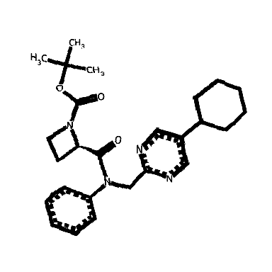 CC(C)(C)OC(=O)N1CC[C@@H]1C(=O)N(Cc1ncc(C2CCCCC2)cn1)c1ccccc1